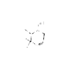 CC1C([SiH3])CC=CC1(C)C